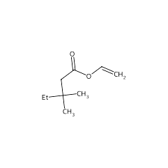 C=COC(=O)CC(C)(C)CC